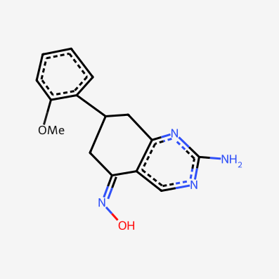 COc1ccccc1C1C/C(=N/O)c2cnc(N)nc2C1